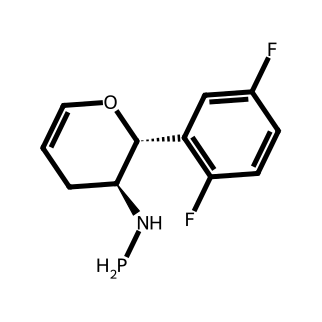 Fc1ccc(F)c([C@H]2OC=CC[C@@H]2NP)c1